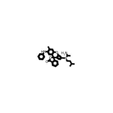 Cc1cc2c(cc1Nc1ccccc1)C1(OC(=O)c3ccccc31)c1ccc(N(CCC(C)C)C(C)N)cc1O2